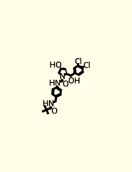 CC(C)(C)C(=O)NCc1ccc(NC(=O)N2C[C@H](O)C[C@H]2[C@@H](O)c2ccc(Cl)c(Cl)c2)cc1